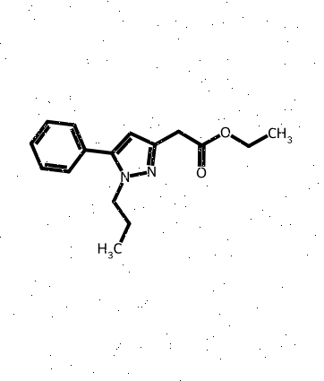 CCCn1nc(CC(=O)OCC)cc1-c1ccccc1